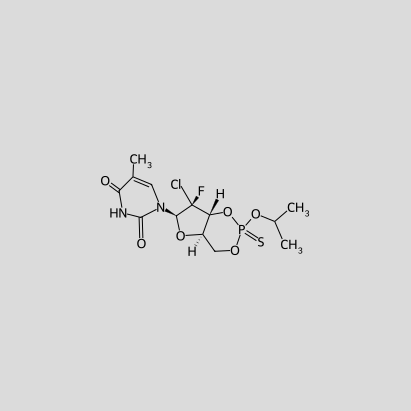 Cc1cn([C@@H]2O[C@@H]3COP(=S)(OC(C)C)O[C@H]3[C@@]2(F)Cl)c(=O)[nH]c1=O